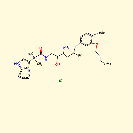 COCCCOc1cc(CC(CC(N)C(O)CNC(=O)C(C)(C)c2c[nH]c3ccccc23)C(C)C)ccc1OC.Cl